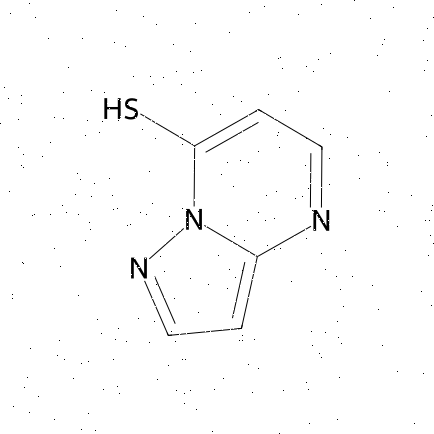 Sc1ccnc2ccnn12